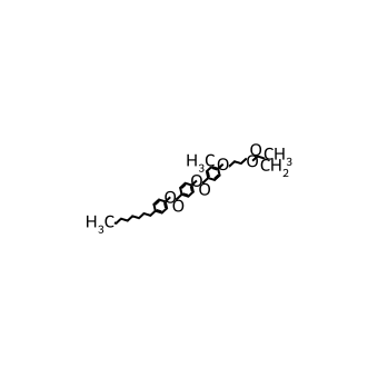 C=C(C)C(=O)OCCCCOc1ccc(C(=O)Oc2ccc(C(=O)Oc3ccc(CCCCCCCC)cc3)cc2)cc1C